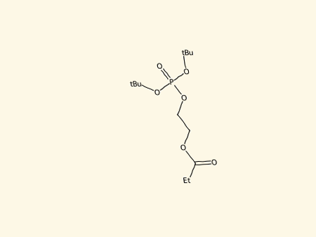 CCC(=O)OCCOP(=O)(OC(C)(C)C)OC(C)(C)C